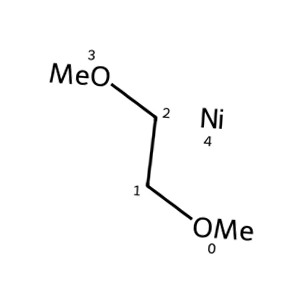 COCCOC.[Ni]